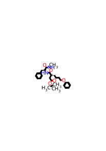 CNC(=O)[C@H](Cc1ccccc1)NC(=O)[C@H](CCCCOc1ccccc1)CC(=O)OC(C)(C)C